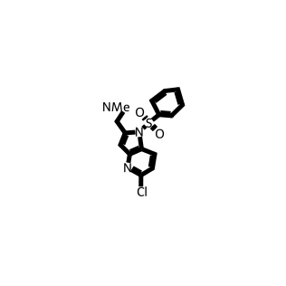 CNCc1cc2nc(Cl)ccc2n1S(=O)(=O)c1ccccc1